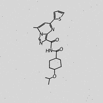 Cc1cc(-c2cccs2)nc2c(C(=O)NC(=O)C3CCC(OC(C)C)CC3)ncn12